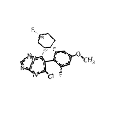 COc1cc(F)c(-c2c(Cl)nc3ncnn3c2[C@H]2CCC[C@@H](F)C2)c(F)c1